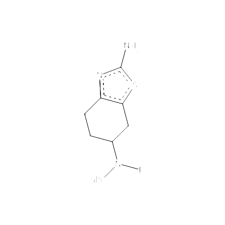 CCCN(I)C1CCc2nc(N)sc2C1